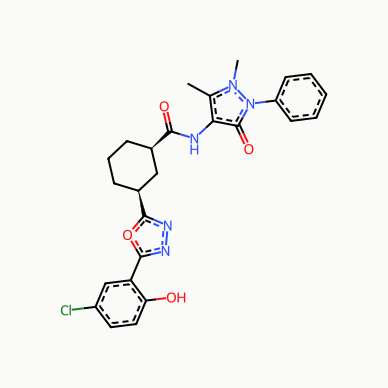 Cc1c(NC(=O)[C@@H]2CCC[C@H](c3nnc(-c4cc(Cl)ccc4O)o3)C2)c(=O)n(-c2ccccc2)n1C